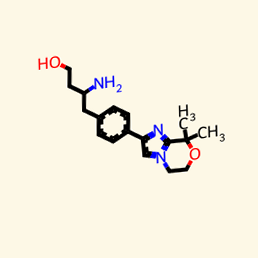 CC1(C)OCCn2cc(-c3ccc(CC(N)CCO)cc3)nc21